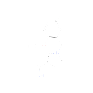 COc1ccc(F)cc1CN1CCC(CN)C1